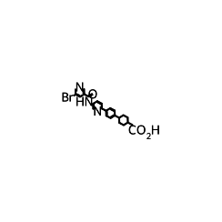 O=C(O)CC1CCC(c2ccc(-c3ccc(NC(=O)c4cncc(Br)c4)cn3)cc2)CC1